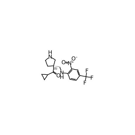 O=C(C1CC1)[C@@]1(CNc2ccc(C(F)(F)F)cc2[N+](=O)[O-])CCNC1